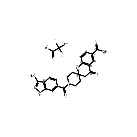 Cc1n[nH]c2cc(C(=O)N3CCC4(CC3)CC(=O)c3cc(C(=O)O)ccc3O4)ccc12.O=C(O)C(F)(F)F